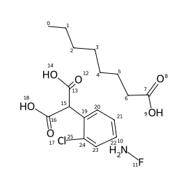 CCCCCCCC(=O)O.NF.O=C(O)C(C(=O)O)c1ccccc1Cl